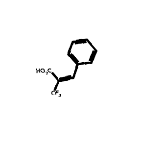 O=C(O)/C(=C\c1ccccc1)C(F)(F)F